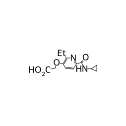 CCc1nc(C(=O)NC2CC2)ccc1OCC(=O)O